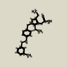 CCc1nn(Cc2ccc(OCc3cccc(C)c3)cc2)c(CC)c1CC(=O)O